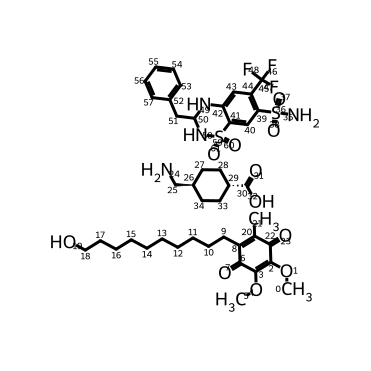 COC1=C(OC)C(=O)C(CCCCCCCCCCO)=C(C)C1=O.NC[C@H]1CC[C@H](C(=O)O)CC1.NS(=O)(=O)c1cc2c(cc1C(F)(F)F)NC(Cc1ccccc1)NS2(=O)=O